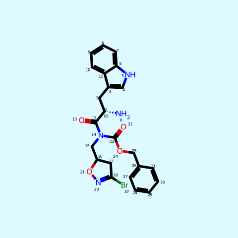 N[C@@H](Cc1c[nH]c2ccccc12)C(=O)N(CC1CC(Br)=NO1)C(=O)OCc1ccccc1